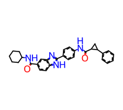 O=C(NC1CCCCC1)c1ccc2[nH]c(-c3ccc(NC(=O)C4CC4c4ccccc4)cc3)nc2c1